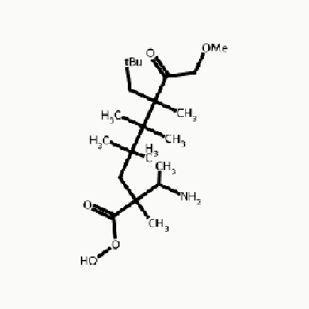 COCC(=O)C(C)(CC(C)(C)C)C(C)(C)C(C)(C)CC(C)(C(=O)OO)C(C)N